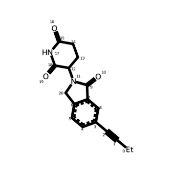 CCC#Cc1ccc2c(c1)C(=O)N(C1CCC(=O)NC1=O)C2